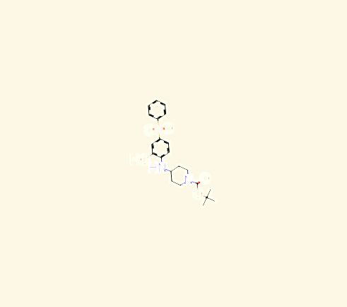 CC(C)(C)OC(=O)N1CCC(Nc2ccc(S(=O)(=O)c3ccccc3)cc2O)CC1